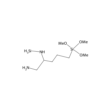 CO[Si](CCCC(CN)N[SiH3])(OC)OC